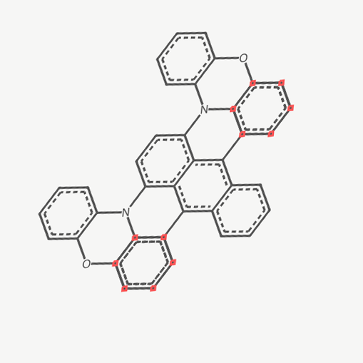 c1ccc(-c2c3ccccc3c(-c3ccccc3)c3c(N4c5ccccc5Oc5ccccc54)ccc(N4c5ccccc5Oc5ccccc54)c23)cc1